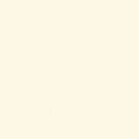 Fc1cc(F)c(F)c(-c2c3ccccc3c(-c3ccccc3)c3c(F)cccc23)c1F